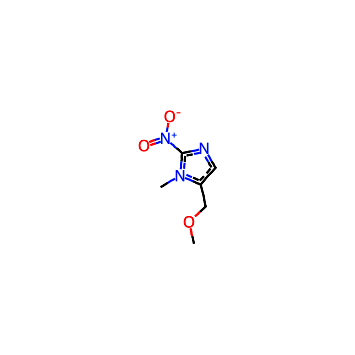 COCc1cnc([N+](=O)[O-])n1C